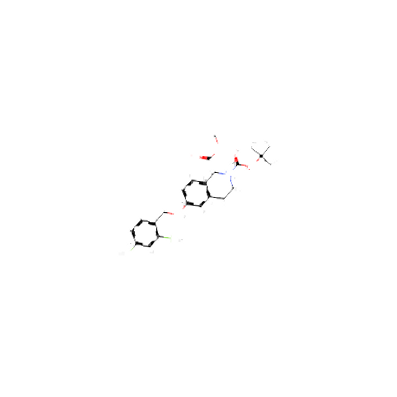 COC(=O)[C@H]1c2ccc(OCc3ccc(F)cc3F)cc2CCN1C(=O)OC(C)(C)C